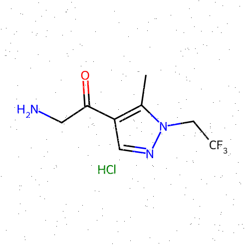 Cc1c(C(=O)CN)cnn1CC(F)(F)F.Cl